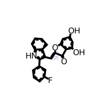 O=C1/C(=C/c2c(-c3cccc(F)c3)[nH]c3ccccc23)Oc2cc(O)cc(O)c21